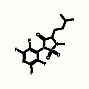 CC(C)CCC1C(=O)N(c2c(F)c(F)nc(F)c2F)S(=O)(=O)N1C